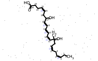 CC/C=C\C/C=C\CC(C)(O)\C=C/C=C/C=C/C(O)C/C=C\CCC(=O)O